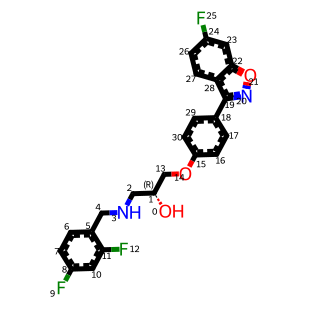 O[C@H](CNCc1ccc(F)cc1F)COc1ccc(-c2noc3cc(F)ccc23)cc1